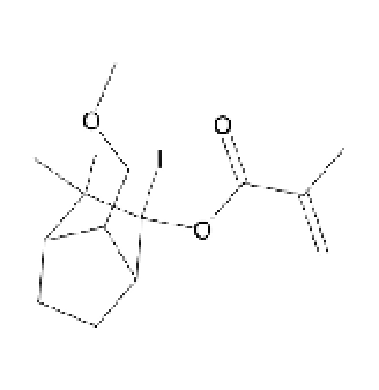 C=C(C)C(=O)OC1(I)C2CCC(C2COC)C1(C)C